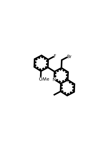 COc1cccc(F)c1-c1nc2c(C)cccc2cc1CBr